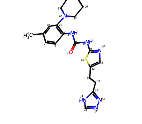 Cc1ccc(NC(=O)Nc2ncc(CCc3nnc[nH]3)s2)c(N2CCCCC2)c1